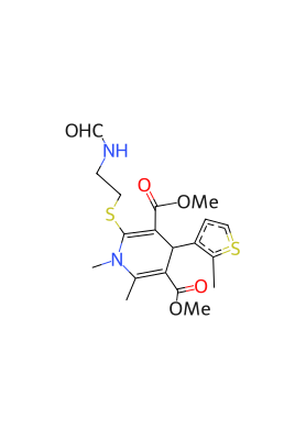 COC(=O)C1=C(C)N(C)C(SCCNC=O)=C(C(=O)OC)C1c1ccsc1C